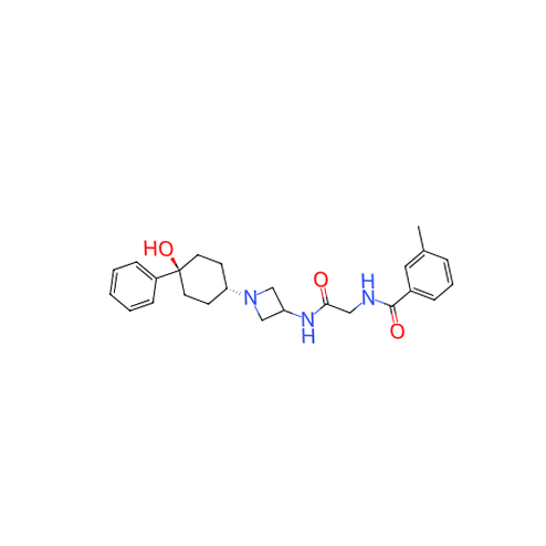 Cc1cccc(C(=O)NCC(=O)NC2CN([C@H]3CC[C@@](O)(c4ccccc4)CC3)C2)c1